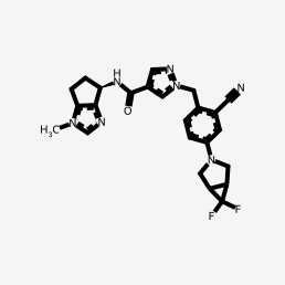 Cn1cnc2c1CC[C@H]2NC(=O)c1cnn(Cc2ccc(N3CC4C(C3)C4(F)F)cc2C#N)c1